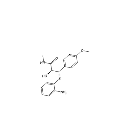 CNC(=O)[C@H](O)[C@@H](Sc1ccccc1N)c1ccc(OC)cc1